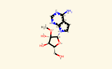 CO[C@]1(O)[C@H](O)[C@@H](CO)O[C@H]1n1ccc2c(N)ncnc21